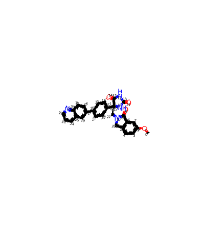 COc1ccc2c(c1)C(=O)N(C[C@]1(c3ccc(-c4ccc5ncccc5c4)cc3)NC(=O)NC1=O)C2